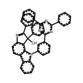 CC1(c2ccccc2)C(c2ccccc2)=Nc2ccc3c4ccccc4n(-c4cccc(-c5nc(-c6ccccc6)nc(-c6ccccc6)n5)c4)c3c21